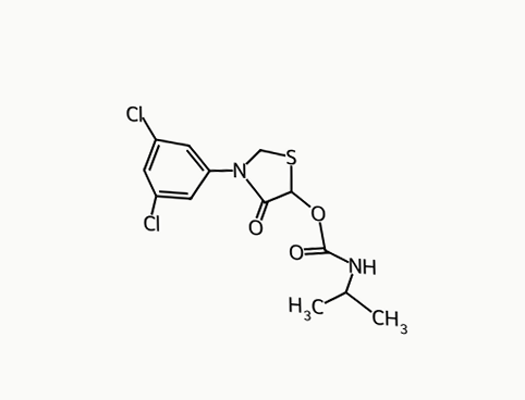 CC(C)NC(=O)OC1SCN(c2cc(Cl)cc(Cl)c2)C1=O